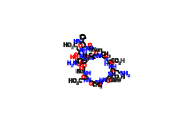 CCCCCCCCCC(=O)NC(Cc1c[nH]c2ccccc12)C(=O)NC(CCC(=O)O)C(=O)NC(C(=O)NC1C(=O)N(C)CC(=O)NC(C)C(=O)NC(CC(=O)O)C(=O)NC(CCCCN)C(=O)NC(C(OC)C(=O)O)C(=O)NCC(=O)NC(C)C(=O)NC(CCC(=O)O)C(=O)NC(C(C)CC)C(=O)OC1C)C(O)C(N)=O